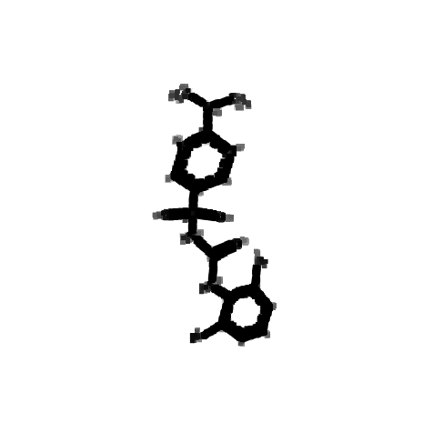 CC(C)c1cccc(C(C)C)c1NC(=O)NS(=O)(=O)c1cnc(N(C)C)nc1